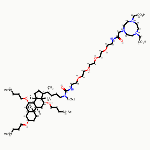 CCCCCCCCN(CCC[C@@H](C)C1CC[C@H]2C3[C@H](OCCCNC(C)=O)CC4C[C@H](OCCCNC(C)=O)CCC4(C)[C@H]3C[C@H](OCCCNC(C)=O)C12C)C(=O)NCCOCCOCCOCCOCCNC(=O)CN1CCN(CC(=O)O)CCN(CC(=O)O)CC1